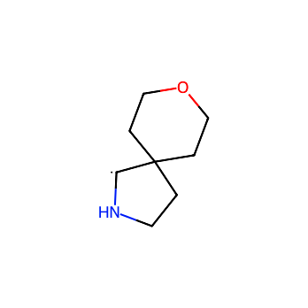 [CH]1NCCC12CCOCC2